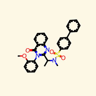 COc1ccccc1-n1c(C(C)N(C)S(=O)(=O)c2ccc(-c3ccccc3)cc2)nc2ccccc2c1=O